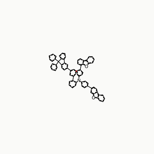 c1ccc(C2(c3ccccc3)c3ccccc3-c3cc(-c4cccc(-c5ccccc5N(c5ccc(-c6ccc7c(c6)oc6ccccc67)cc5)c5ccc(-c6cccc7c6oc6ccccc67)cc5)c4)ccc32)cc1